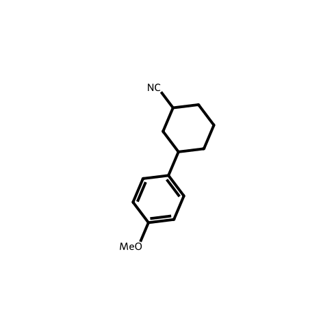 COc1ccc(C2CCCC(C#N)C2)cc1